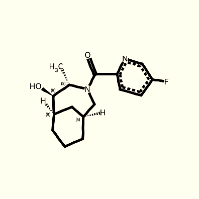 C[C@H]1[C@H](O)[C@@H]2CCC[C@@H](C2)CN1C(=O)c1ccc(F)cn1